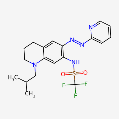 CC(C)CN1CCCc2cc(N=Nc3ccccn3)c(NS(=O)(=O)C(F)(F)F)cc21